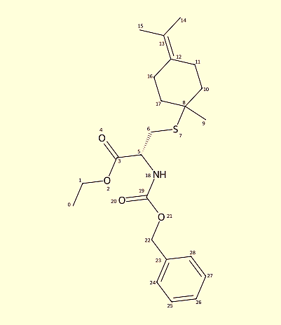 CCOC(=O)[C@H](CSC1(C)CCC(=C(C)C)CC1)NC(=O)OCc1ccccc1